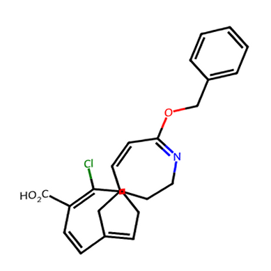 O=C(O)C1=C(\Cl)CC/C=C(CC2C=CC(OCc3ccccc3)=NCC2)/C=C\1